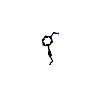 CCC#Cc1cccc(CI)c1